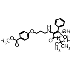 COC(=O)c1ccc(OCCCNC2=C(c3ccccc3)S(O)(O)N(C(C)(C)C)C2=O)cc1